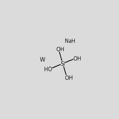 O[Si](O)(O)O.[NaH].[W]